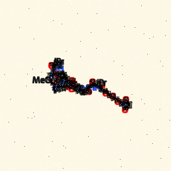 CC[C@H](C)[C@@H]([C@@H](CC(=O)N1CCC[C@H]1[C@H](OC)[C@@H](C)C(=O)N[C@@H](Cc1ccccc1)C(=O)NS(=O)(=O)c1ccc(C2(NC(=O)CNC(=O)C(NC(=O)CCOCCOCCOCCN3C(=O)C=CC3=O)C(C)C)CC2)cc1)OC)N(C)C(=O)CNC(=O)C(C(C)C)N(C)C